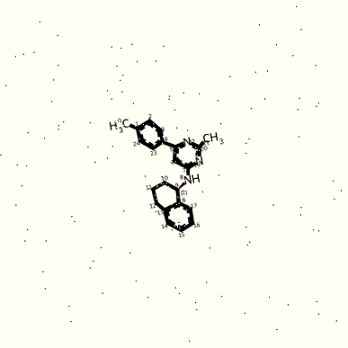 Cc1ccc(-c2cc(N[C@@H]3CCCc4ccccc43)nc(C)n2)cc1